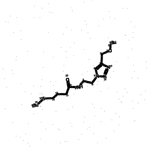 CC(C)(C)OCc1cn(CCNC(=O)CCCSC(C)(C)C)nn1